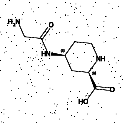 NCC(=O)N[C@H]1CCN[C@@H](C(=O)O)C1